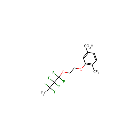 O=C(O)c1ccc(C(F)(F)F)c(OCCOC(F)(F)C(F)(F)C(F)(F)C(F)(F)F)c1